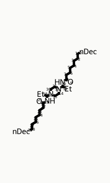 CCCCCCCCCCCCCCCCCC(=O)NC(CC)N1CCN(C(CC)NC(=O)CCCCCCCCCCCCCCCCC)CC1